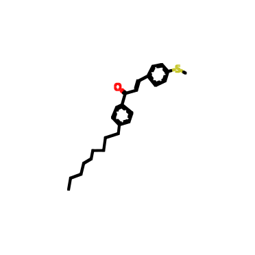 CCCCCCCCCc1ccc(C(=O)C=Cc2ccc(SC)cc2)cc1